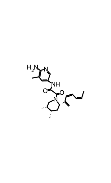 C=C(/C=C\C=C/C)[C@@H]1C[C@H](C)[C@H](C)CN1C(=O)C(=O)Nc1cnc(N)c(C)c1